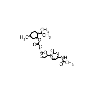 CC(=O)Nc1ccn(C2CS[C@H](COC(=O)O[C@@H]3C[C@H](C)CC[C@H]3C(C)C)O2)c(=O)n1